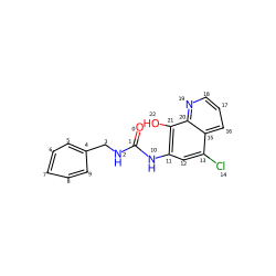 O=C(NCc1ccccc1)Nc1cc(Cl)c2cccnc2c1O